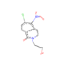 O=c1c2ccc(Cl)c([N+](=O)[O-])c2ccn1CCO